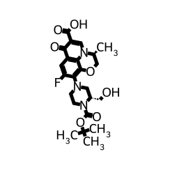 C[C@H]1COc2c(N3CCN(C(=O)OC(C)(C)C)[C@@H](CO)C3)c(F)cc3c(=O)c(C(=O)O)cn1c23